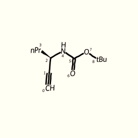 C#C[C@@H](CCC)NC(=O)OC(C)(C)C